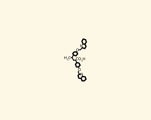 CC(CC(C(=O)O)c1ccc(OCc2ccc3ccccc3n2)cc1)c1ccc(OCc2ccc3ccccc3n2)cc1